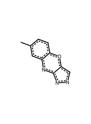 Cc1ccc2oc3cnnc-3nc2c1